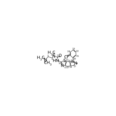 CN(C)CCN(C)C(=O)Nc1nc2c(s1)-c1c(cnn1-c1ccccc1Cl)C2